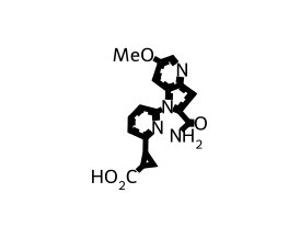 COc1cnc2cc(C(N)=O)n(-c3cccc(C4CC4C(=O)O)n3)c2c1